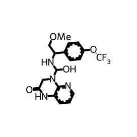 COCC(NC(O)N1CC(=O)Nc2cccnc21)c1ccc(OC(F)(F)F)cc1